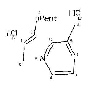 CC=CCCCCC.Cc1cccnc1.Cl.Cl